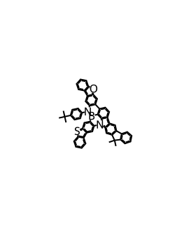 CC(C)(C)c1ccc(N2B3c4cc5sc6ccccc6c5cc4-n4c5cc6c(cc5c5ccc(c3c54)-c3cc4oc5ccccc5c4cc32)-c2ccccc2C6(C)C)cc1